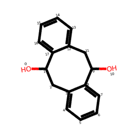 OC1Cc2ccccc2C(O)Cc2ccccc21